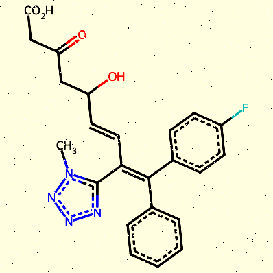 Cn1nnnc1C(/C=C/C(O)CC(=O)CC(=O)O)=C(\c1ccccc1)c1ccc(F)cc1